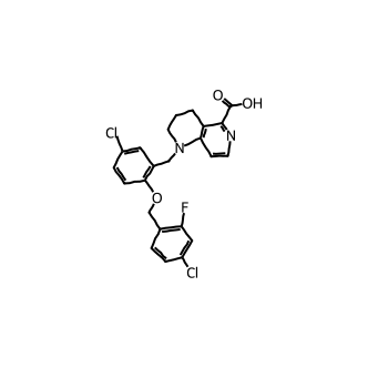 O=C(O)c1nccc2c1CCCN2Cc1cc(Cl)ccc1OCc1ccc(Cl)cc1F